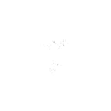 COc1cc(C2NC(=O)c3ccccc3N2)ccc1OCCCCCCCCOc1cc(C2=NOC(c3cc(OC)c(OC)c(OC)c3)C2)ccc1OC